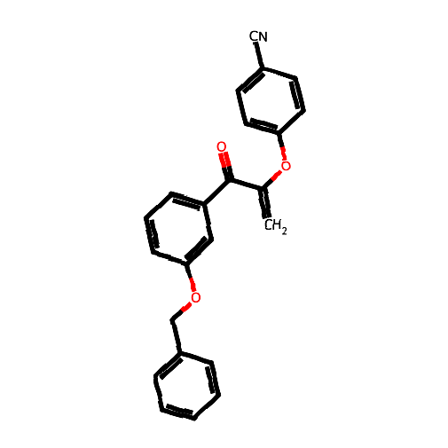 C=C(Oc1ccc(C#N)cc1)C(=O)c1cccc(OCc2ccccc2)c1